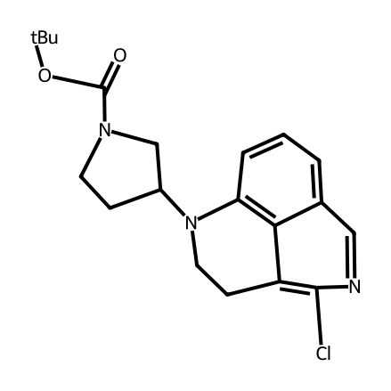 CC(C)(C)OC(=O)N1CCC(N2CCc3c(Cl)ncc4cccc2c34)C1